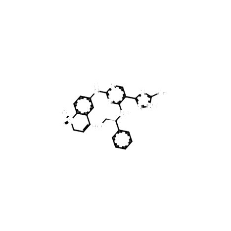 Cc1nc(-c2cnc(Nc3ccc4c(c3)C=CCS4(=O)=O)nc2N[C@H](CO)c2ccccc2)n[nH]1